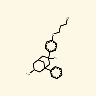 CC1CC2CC(C)(c3ccc(OCCCO)cc3)CC(c3ccccc3)(C1)C2